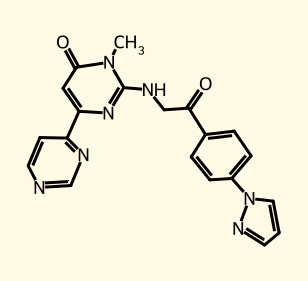 Cn1c(NCC(=O)c2ccc(-n3cccn3)cc2)nc(-c2ccncn2)cc1=O